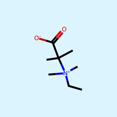 CC[N+](C)(C)C(C)(C)C(=O)[O-]